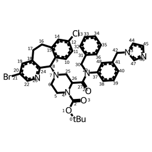 CC(C)(C)OC(=O)N1CCN([C@@H]2c3ccc(Cl)cc3CCc3cc(Br)cnc32)CC1C(=O)N(Cc1ccccc1)c1cccc(Cn2ccnc2)c1